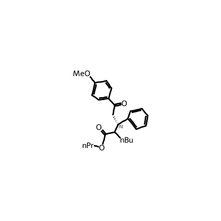 CCCCC(C(=O)OCCC)[C@H](CC(=O)c1ccc(OC)cc1)c1ccccc1